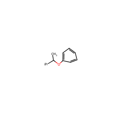 C[C](Oc1ccccc1)C(C)C